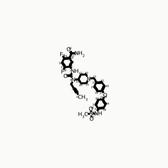 CC#CCN(C(=O)Nc1cc(C(N)=O)c(F)cc1F)C1CCN(Cc2ccc(Oc3ccc(NS(C)(=O)=O)cc3)cc2)CC1